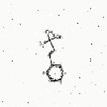 CC(Br)(Br)C=Cc1ccccc1